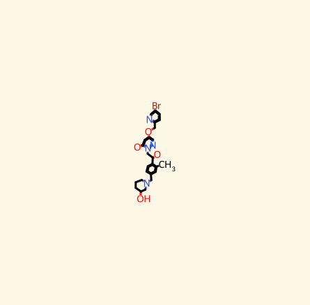 Cc1cc(CN2CCCC(O)C2)ccc1C(=O)Cn1ncc(OCc2ccc(Br)cn2)cc1=O